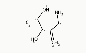 C=CCN.Cl.OCCO